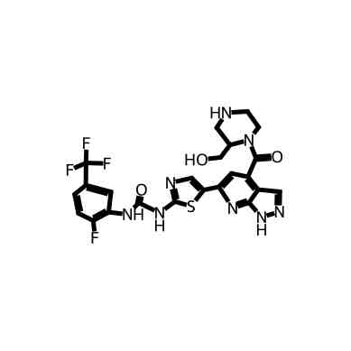 O=C(Nc1ncc(-c2cc(C(=O)N3CCNCC3CO)c3cn[nH]c3n2)s1)Nc1cc(C(F)(F)F)ccc1F